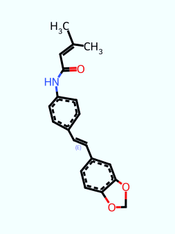 CC(C)=CC(=O)Nc1ccc(/C=C/c2ccc3c(c2)OCO3)cc1